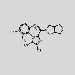 Cc1ccc(O)c(C)c1-n1c(C(=O)N2CC3COCC3C2)nc(C#N)c1N